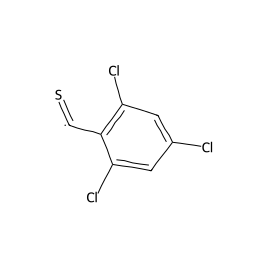 S=[C]c1c(Cl)cc(Cl)cc1Cl